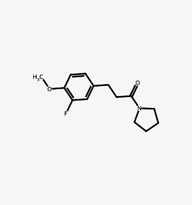 COc1ccc(CCC(=O)N2CCCC2)cc1F